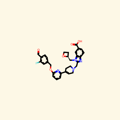 O=Cc1ccc(COc2cccc(C3=CCN(Cc4nc5ccc(C(=O)O)cc5n4C[C@@H]4CCO4)CC3)n2)cc1F